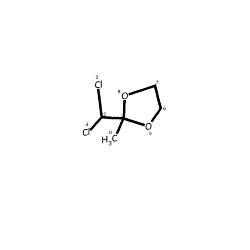 CC1(C(Cl)Cl)OCCO1